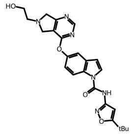 CC(C)(C)c1cc(NC(=O)n2ccc3cc(Oc4ncnc5c4CN(CCO)C5)ccc32)no1